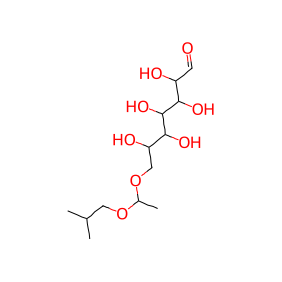 CC(C)COC(C)OCC(O)C(O)C(O)C(O)C(O)C=O